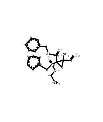 C=CC1(N)CC1(C(=O)OCc1ccccc1)P(=O)(Cc1ccccc1)OCC